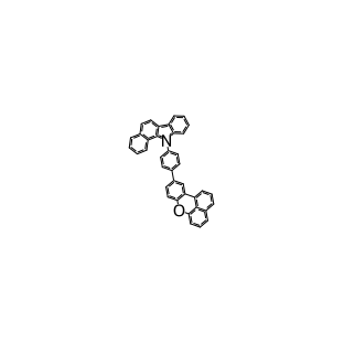 c1cc2c3c(cccc3c1)-c1cc(-c3ccc(-n4c5ccccc5c5ccc6ccccc6c54)cc3)ccc1O2